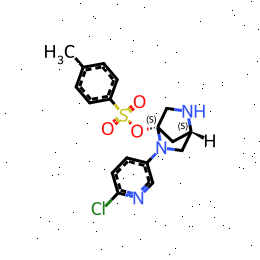 Cc1ccc(S(=O)(=O)O[C@@]23CN[C@H](CN2c2ccc(Cl)nc2)C3)cc1